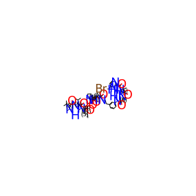 CC[C@H](C)[C@@H]([C@@H](CC(=O)N1CCC[C@H]1[C@H](OC)[C@@H](C)C(=O)NCCc1cccc(NC(=O)[C@H](C)NC(=O)[C@H](C)NC(=O)c2nccc(CBr)n2)c1)OC)N(C)C(=O)[C@@H](NC(=O)[C@H](C(C)C)N(C)C)C(C)C